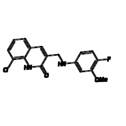 COc1cc(NCc2cc3cccc(Cl)c3[nH]c2=O)ccc1F